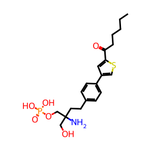 CCCCCC(=O)c1cc(-c2ccc(CCC(N)(CO)COP(=O)(O)O)cc2)cs1